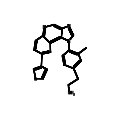 Cc1cc(CCN)ccc1-n1cnc2cnc3ccc(-c4ccsc4)cc3c21